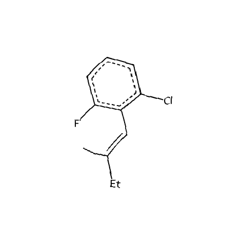 CC/C(C)=C/c1c(F)cccc1Cl